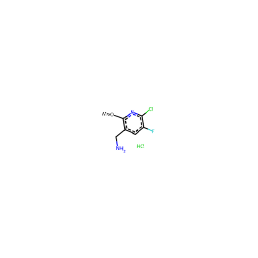 COc1nc(Cl)c(F)cc1CN.Cl